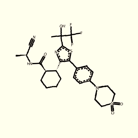 C[C@@H](C#N)NC(=O)[C@@H]1CCCC[C@H]1c1nc(C(C)(O)C(F)(F)F)sc1-c1ccc(N2CCS(=O)(=O)CC2)cc1